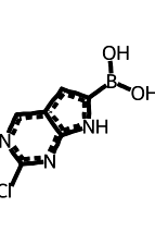 OB(O)c1cc2cnc(Cl)nc2[nH]1